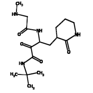 CNCC(=O)NC(CC1CCCNC1=O)C(=O)C(=O)NC(C)(C)C